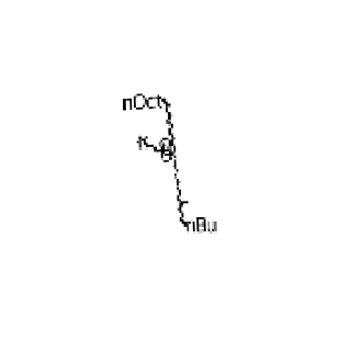 CCCC/C=C\C/C=C(\C)CCCCCCCCC(CCCCCCCC/C=C\CCCCCCCC)OC(=O)CCCN(C)C